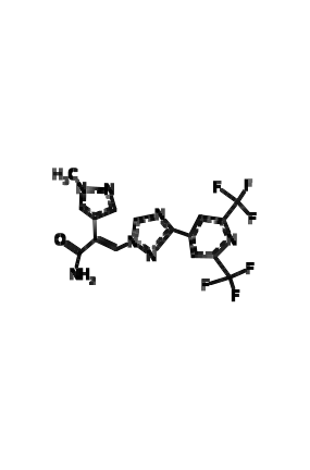 Cn1cc(/C(=C\n2cnc(-c3cc(C(F)(F)F)nc(C(F)(F)F)c3)n2)C(N)=O)cn1